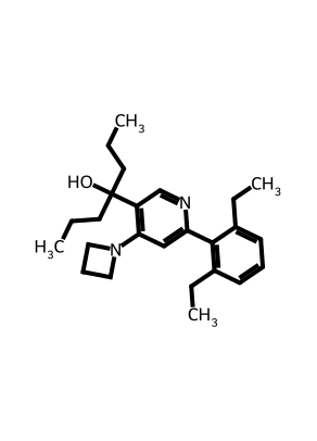 CCCC(O)(CCC)c1cnc(-c2c(CC)cccc2CC)cc1N1CCC1